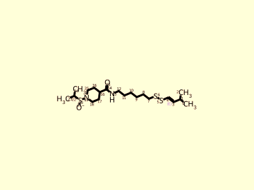 CC(C)/C=C/SSCCCCCCNC(=O)C1CCN([S+]([O-])C(C)C)CC1